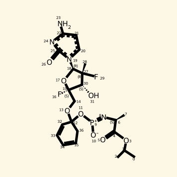 CC(C)OC(=O)[C@H](C)N=[P+]([O-])OC1(OC[C@@]2(F)O[C@@H](n3ccc(N)nc3=O)[C@](C)(F)[C@@H]2O)C=CC=CC1